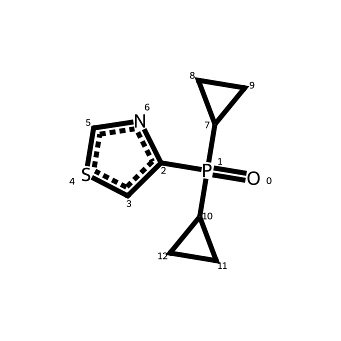 O=P(c1cscn1)(C1CC1)C1CC1